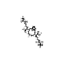 COC(=O)C(CCCCNC(=O)C(F)(F)F)N1CCN(C)CCN(C(CCCCNC(=O)C(F)(F)F)C(=O)OC)Cc2cccc(n2)C1